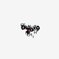 Cc1ncc(C(O)(CCN)COc2cccc(C(F)(F)F)n2)c(C2CCN(C(=O)Nc3c(F)cccc3F)CC2)n1